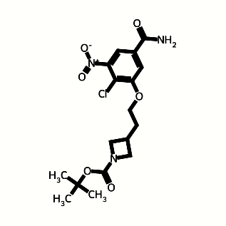 CC(C)(C)OC(=O)N1CC(CCOc2cc(C(N)=O)cc([N+](=O)[O-])c2Cl)C1